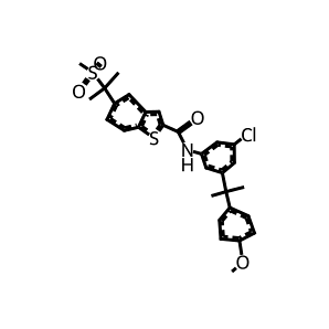 COc1ccc(C(C)(C)c2cc(Cl)cc(NC(=O)c3cc4cc(C(C)(C)S(C)(=O)=O)ccc4s3)c2)cc1